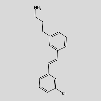 NCCCc1cccc(C=Cc2cccc(Cl)c2)c1